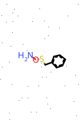 NOSCc1ccccc1